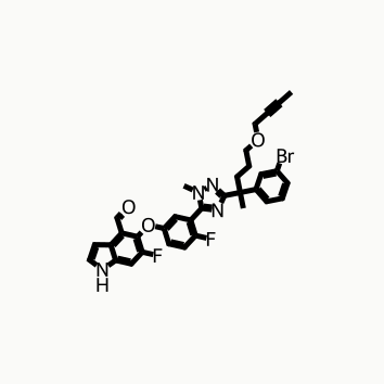 CC#CCOCCCC(C)(c1cccc(Br)c1)c1nc(-c2cc(Oc3c(F)cc4[nH]ccc4c3C=O)ccc2F)n(C)n1